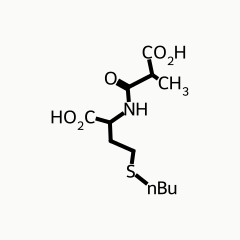 CCCCSCCC(NC(=O)C(C)C(=O)O)C(=O)O